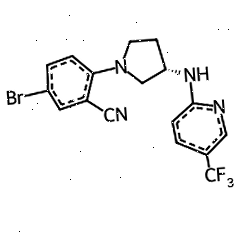 N#Cc1cc(Br)ccc1N1CC[C@H](Nc2ccc(C(F)(F)F)cn2)C1